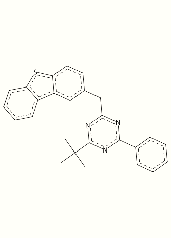 CC(C)(C)c1nc(Cc2ccc3sc4ccccc4c3c2)nc(-c2ccccc2)n1